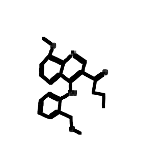 CCCC(=O)c1cnc2c(OC)cccc2c1Nc1ccccc1COC